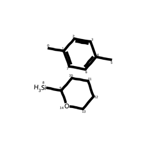 Cc1ccc(C)cc1.[SiH3]C1CCCCO1